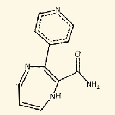 NC(=O)C1=C(c2ccncc2)N=[C]C=CN1